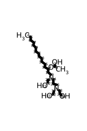 CC(=O)O.CCCCCCCCCCCCCCCCN(CCO)CCCN(CCO)CCO